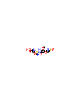 COOSc1ccc(Oc2cc(OC(C)C)cc(C(=O)Nc3ncc(Oc4cncc(C(=O)O)c4)s3)c2)cn1